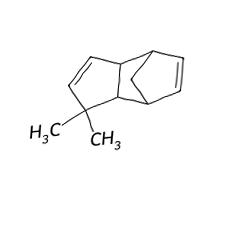 CC1(C)C=CC2C3C=CC(C3)C21